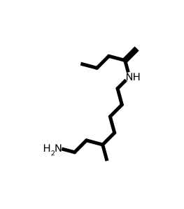 C=C(CCC)NCCCCC(C)CCN